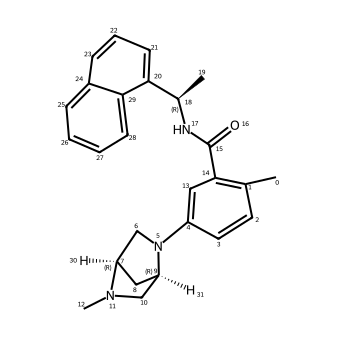 Cc1ccc(N2C[C@H]3C[C@@H]2CN3C)cc1C(=O)N[C@H](C)c1cccc2ccccc12